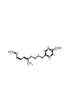 C=N/C=C\C=C(/C)CCCCc1cnc(C=O)cn1